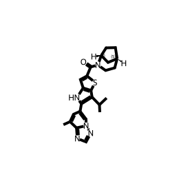 Cc1cc(-c2[nH]c3cc(C(=O)N4CC[C@@H]5CC[C@@H]4C5)sc3c2C(C)C)cn2ncnc12